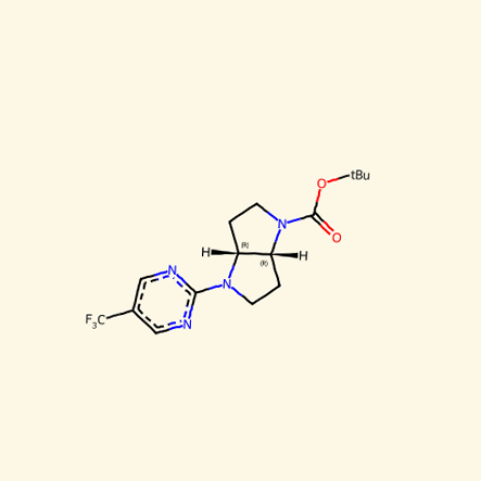 CC(C)(C)OC(=O)N1CC[C@@H]2[C@H]1CCN2c1ncc(C(F)(F)F)cn1